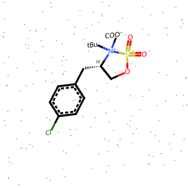 CC(C)(C)[N+]1(C(=O)[O-])[C@@H](Cc2ccc(Cl)cc2)COS1(=O)=O